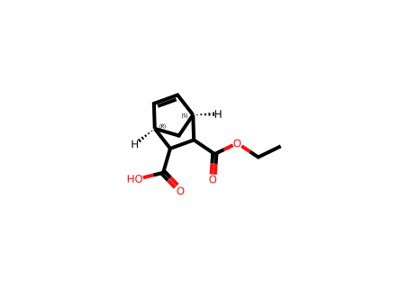 CCOC(=O)C1C(C(=O)O)[C@H]2C=C[C@@H]1C2